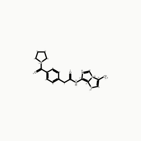 O=C(Cc1ccc(C(=O)N2CCCC2)cc1)Nc1ncn2c(C(F)(F)F)csc12